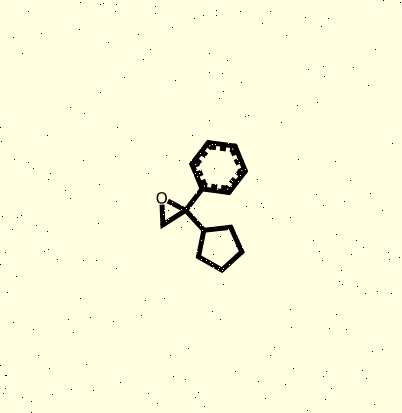 c1ccc(C2(C3CCCC3)CO2)cc1